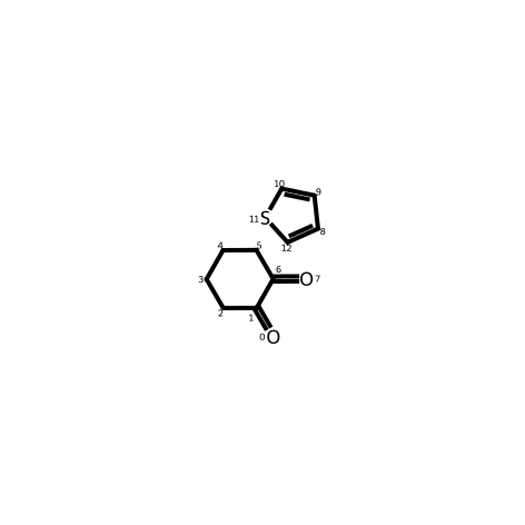 O=C1CCCCC1=O.c1ccsc1